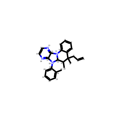 C=CCC1(C)c2ccccc2N2c3nccnc3N(c3ccccc3C)C2C1C